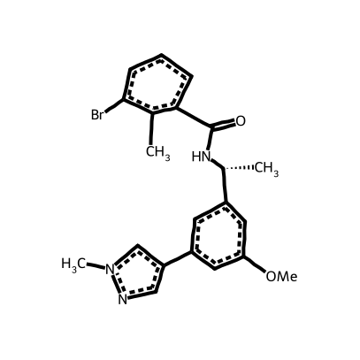 COc1cc(-c2cnn(C)c2)cc([C@@H](C)NC(=O)c2cccc(Br)c2C)c1